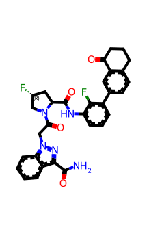 NC(=O)c1nn(CC(=O)N2C[C@H](F)CC2C(=O)Nc2cccc(-c3ccc4c(c3)C(=O)CCC4)c2F)c2ccccc12